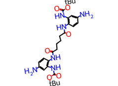 CC(C)(C)OC(=O)Nc1cc(N)ccc1NC(=O)CCCCC(=O)Nc1ccc(N)cc1NC(=O)OC(C)(C)C